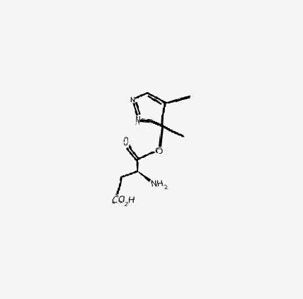 CC1=CN=NC1(C)OC(=O)[C@@H](N)CC(=O)O